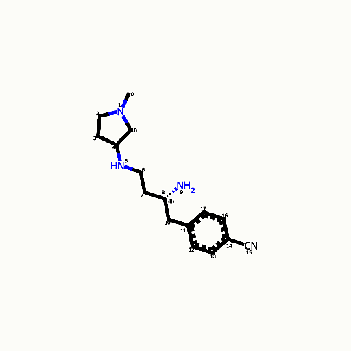 CN1CCC(NCC[C@H](N)Cc2ccc(C#N)cc2)C1